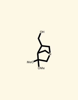 COC1(OC)CN2CC(CO)C1C2